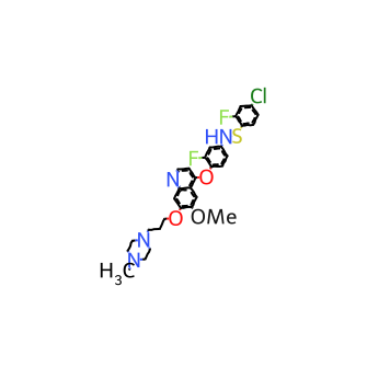 COc1cc2c(Oc3ccc(NSc4ccc(Cl)cc4F)cc3F)ccnc2cc1OCCCN1CCN(C)CC1